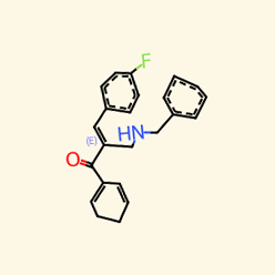 O=C(C1=CCCC=C1)/C(=C/c1ccc(F)cc1)CNCc1ccccc1